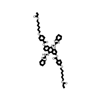 C=CC(=O)OCCCCCCOc1ccc(C(=O)Oc2ccc3c(c2)/C(=N/Nc2nc4ccccc4s2)c2ccc(OC(=O)c4ccc(OCCCCCCOC(=O)C=C)cc4)cc2/C3=N/Nc2nc3ccccc3s2)cc1